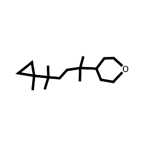 CC(C)(CCC(C)(C)C1(C)CC1)C1CCOCC1